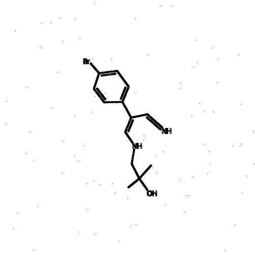 CC(C)(O)CN/C=C(\C=N)c1ccc(Br)cc1